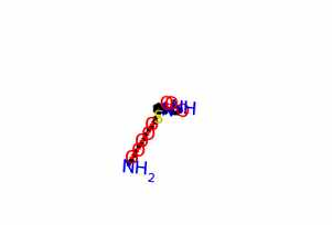 NCCOCCOCCOCCOCCOCCSc1cccc2c1CN(C1CCC(=O)NC1=O)C2=O